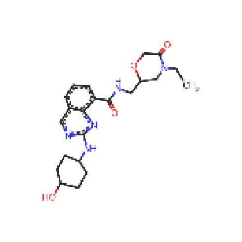 CCN1CC(CNC(=O)c2cccc3cnc(NC4CCC(O)CC4)nc23)OCC1=O